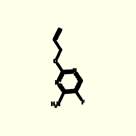 C=CCOc1ncc(F)c(N)n1